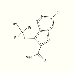 COC(=O)c1sc2cc(Cl)nnc2c1O[Si](C(C)C)(C(C)C)C(C)C